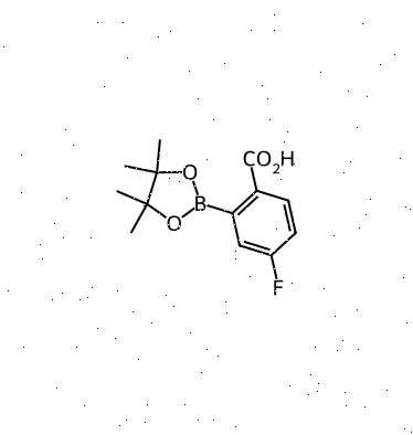 CC1(C)OB(c2cc(F)ccc2C(=O)O)OC1(C)C